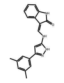 Cc1cc(C)cc(-c2cc(NC=C3C(=O)Nc4ccccc43)[nH]n2)c1